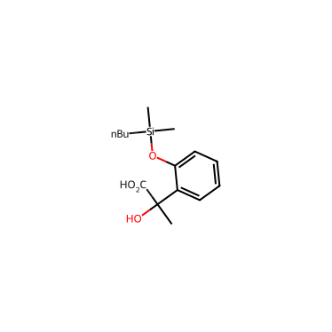 CCCC[Si](C)(C)Oc1ccccc1C(C)(O)C(=O)O